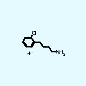 Cl.NCCCCc1ccccc1Cl